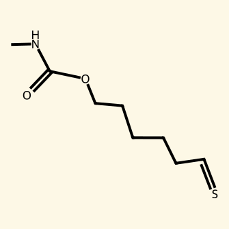 CNC(=O)OCCCCCC=S